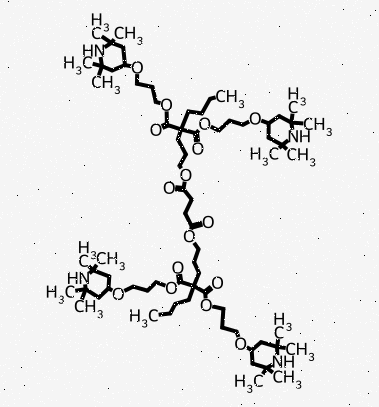 CCCCC(CCCOC(=O)CCC(=O)OCCCC(CCCC)(C(=O)OCCCOC1CC(C)(C)NC(C)(C)C1)C(=O)OCCCOC1CC(C)(C)NC(C)(C)C1)(C(=O)OCCCOC1CC(C)(C)NC(C)(C)C1)C(=O)OCCCOC1CC(C)(C)NC(C)(C)C1